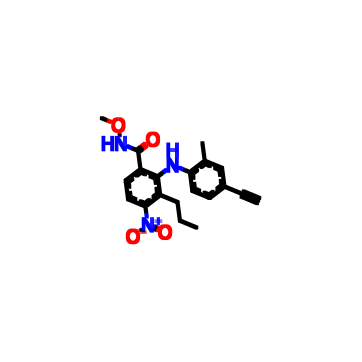 C#Cc1ccc(Nc2c(C(=O)NOC)ccc([N+](=O)[O-])c2CCC)c(C)c1